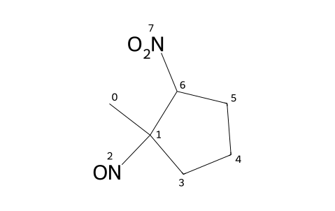 CC1(N=O)CCCC1[N+](=O)[O-]